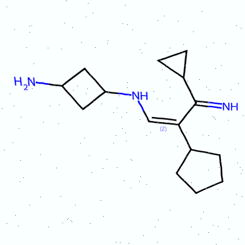 N=C(/C(=C\NC1CC(N)C1)C1CCCC1)C1CC1